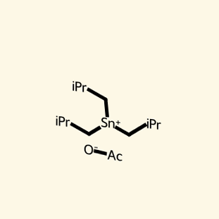 CC(=O)[O-].CC(C)[CH2][Sn+]([CH2]C(C)C)[CH2]C(C)C